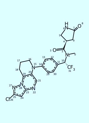 CN(C(=O)[C@H]1CNC(=O)C1)[C@@H](c1ccc(N2CCCc3c2cnc2cc(Cl)nn32)cc1)C(F)(F)F